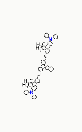 CC1(C)C2=CC(/C=C/c3ccc4c(c3)C3(Cc5ccccc5C3)c3cc(/C=C/c5ccc6c(c5)C(C)(C)c5cc(N(c7ccccc7)c7ccccc7)ccc5-6)ccc3-4)CC=C2c2ccc(N(c3ccccc3)c3ccccc3)cc21